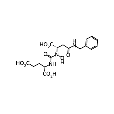 O=C(O)CCC(NC(=O)N(O)[C@@H](CC(=O)NCc1ccccc1)C(=O)O)C(=O)O